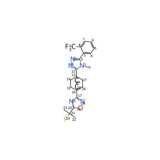 Cn1c(-c2ccccc2C(F)(F)F)nnc1C12CCC(c3noc(C(C)(C)F)n3)(CC1)CC2